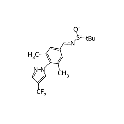 Cc1cc(C=N[S+]([O-])C(C)(C)C)cc(C)c1-n1cc(C(F)(F)F)cn1